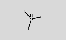 I[SiH](I)I